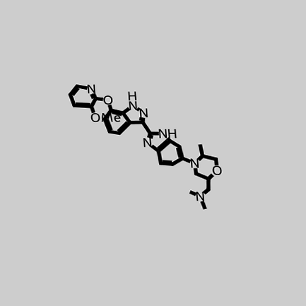 COc1cccnc1Oc1cccc2c(-c3nc4ccc(N5CC(CN(C)C)OCC5C)cc4[nH]3)n[nH]c12